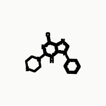 O=c1nc(N2CCSCC2)[nH]c2c1ncn2-c1ccccc1